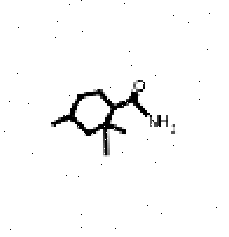 CC1CCC(C(N)=O)C(C)(C)C1